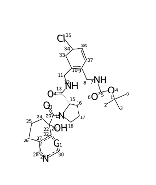 CC(C)(C)OC(=O)NCC1=C(CNC(=O)[C@@H]2CCCN2C(=O)C2(O)CCCc3cnccc32)CC(Cl)C=C1